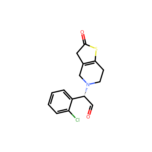 O=C[C@H](c1ccccc1Cl)N1CCC2=C(CC(=O)S2)C1